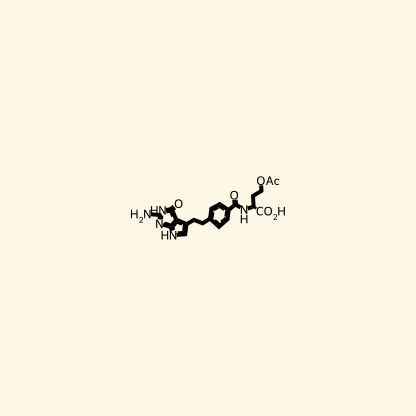 CC(=O)OCC[C@H](NC(=O)c1ccc(CCc2c[nH]c3nc(N)[nH]c(=O)c23)cc1)C(=O)O